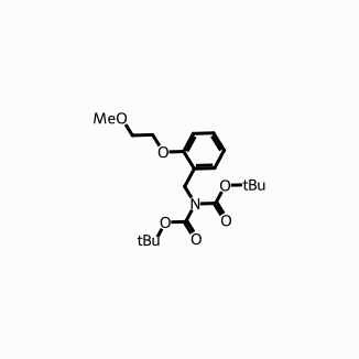 COCCOc1ccccc1CN(C(=O)OC(C)(C)C)C(=O)OC(C)(C)C